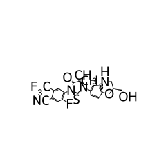 CC1(C)C(=O)N(c2cc(C(F)(F)F)c(C#N)cc2F)C(=S)N1c1ccc2c(c1)NC[C@@H](CO)O2